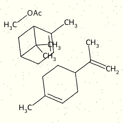 C=C(C)C1CC=C(C)CC1.CC1=CCC2CC1C2(C)C.COC(C)=O